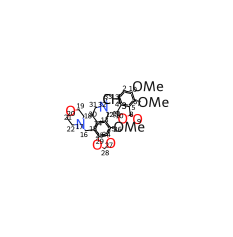 COc1ccc2c(c1OC)C(=O)O[C@@H]2C1c2c(c(CN3CCOCC3)c3c(c2OC)OCO3)CCN1C